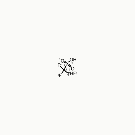 F.O=S(=O)(O)C(F)(F)F